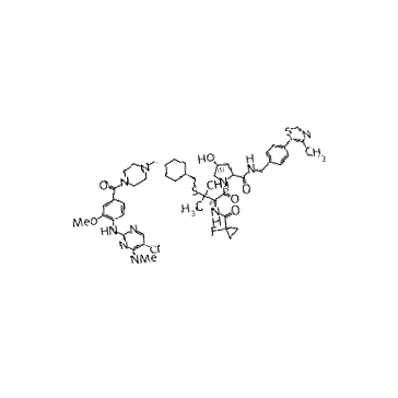 CNc1nc(Nc2ccc(C(=O)N3CCN(C[C@H]4CC[C@H](CSC(C)(C)[C@H](NC(=O)C5(F)CC5)C(=O)N5C[C@@H](O)CC5C(=O)NCc5ccc(-c6scnc6C)cc5)CC4)CC3)cc2OC)ncc1Cl